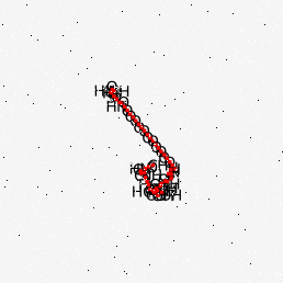 COCCNc1c(NCCCCCCO[C@]2(C(=O)O)C[C@H](O)[C@@H](NC(=O)CO)[C@H]([C@H](O)[C@H](O)CNC(=O)Cc3ccc(-c4cn(CCOCCOCCOCCOCCOCCOCCOCCOCCOCCOCCOCCNC(=O)CCCC[C@@H]5SC[C@@H]6NC(=O)N[C@@H]65)nn4)cc3)O2)c(=O)c1=O